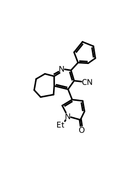 CCn1cc(-c2c(C#N)c(-c3ccccc3)nc3c2CCCCC3)ccc1=O